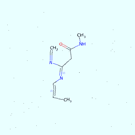 C=N/C(CC(=O)NC)=N\C=C/C